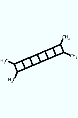 CC1C(C)C2C1C1C2C2C3C4C(C)C(C)C4C3C12